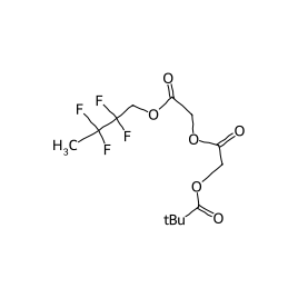 CC(C)(C)C(=O)OCC(=O)OCC(=O)OCC(F)(F)C(C)(F)F